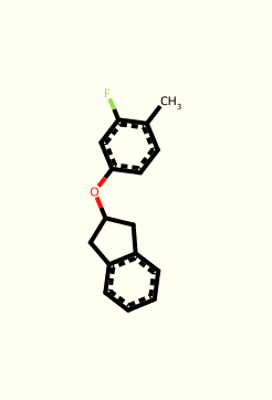 Cc1ccc(OC2Cc3ccccc3C2)cc1F